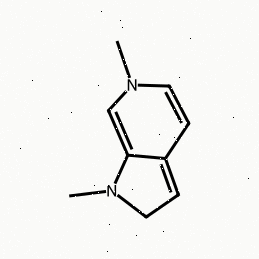 CN1C=CC2=CCN(C)C2=C1